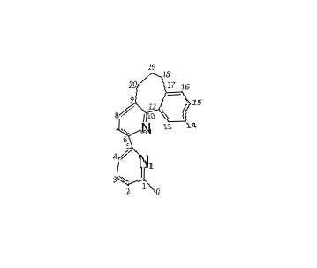 Cc1cccc(-c2ccc3c(n2)-c2ccccc2CCC3)n1